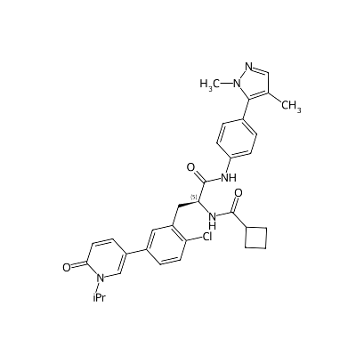 Cc1cnn(C)c1-c1ccc(NC(=O)[C@H](Cc2cc(-c3ccc(=O)n(C(C)C)c3)ccc2Cl)NC(=O)C2CCC2)cc1